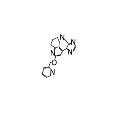 N#Cc1nccnc1-c1cc(OCc2ccccn2)nc2c1CCCC2